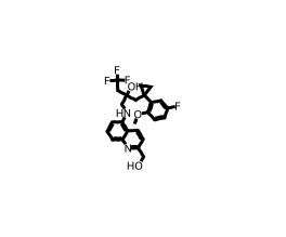 COc1ccc(F)cc1C1(CC(O)(CNc2cccc3nc(CO)ccc23)CC(F)(F)F)CC1